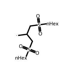 [CH2]C(CS(=O)(=O)CCCCCC)CS(=O)(=O)CCCCCC